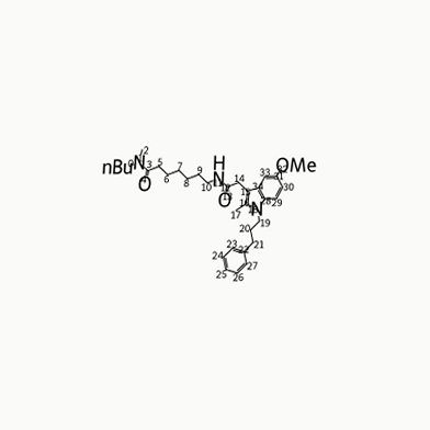 CCCCN(C)C(=O)CCCCCCNC(=O)Cc1c(C)n(CCCc2ccccc2)c2ccc(OC)cc12